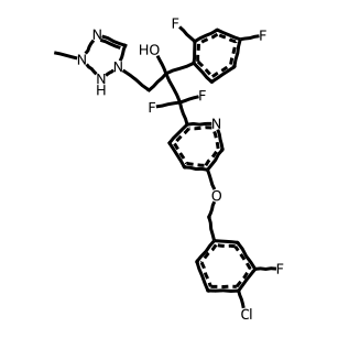 CN1N=CN(CC(O)(c2ccc(F)cc2F)C(F)(F)c2ccc(OCc3ccc(Cl)c(F)c3)cn2)N1